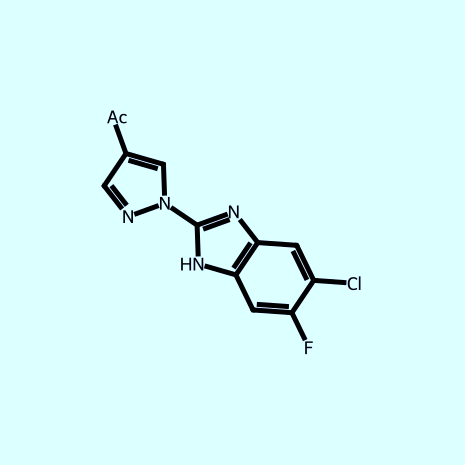 CC(=O)c1cnn(-c2nc3cc(Cl)c(F)cc3[nH]2)c1